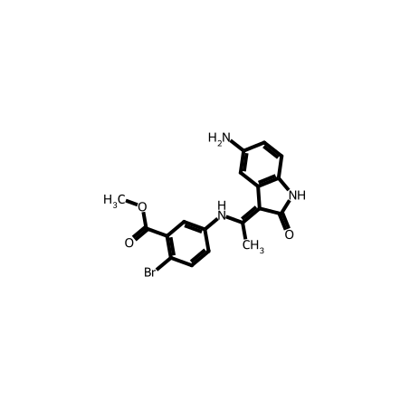 COC(=O)c1cc(NC(C)=C2C(=O)Nc3ccc(N)cc32)ccc1Br